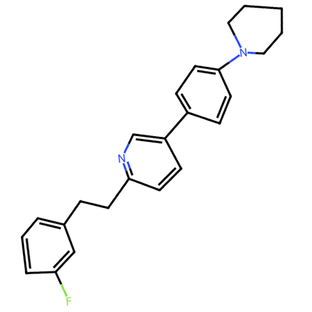 Fc1cccc(CCc2ccc(-c3ccc(N4CCCCC4)cc3)cn2)c1